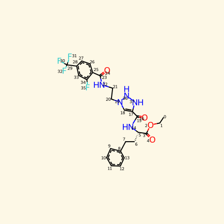 CCOC(=O)[C@H](CCc1ccccc1)NC(=O)C1=CN(CCNC(=O)c2ccc(C(F)(F)F)cc2F)NN1